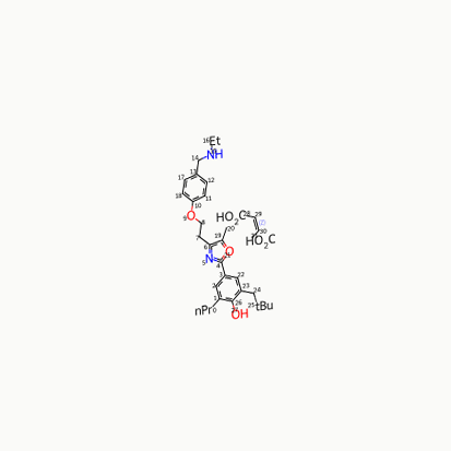 CCCc1cc(-c2nc(CCOc3ccc(CNCC)cc3)c(C)o2)cc(CC(C)(C)C)c1O.O=C(O)/C=C\C(=O)O